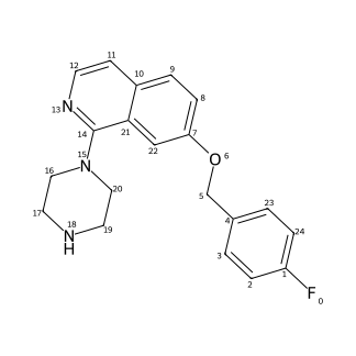 Fc1ccc(COc2ccc3ccnc(N4CCNCC4)c3c2)cc1